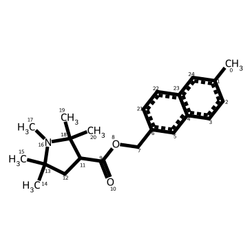 Cc1ccc2cc(COC(=O)C3CC(C)(C)N(C)C3(C)C)ccc2c1